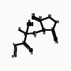 C=CC(=O)C(C)(O)CN1C(=O)CCC1=O